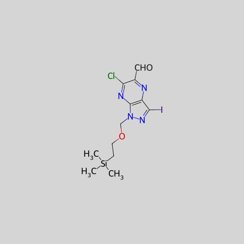 C[Si](C)(C)CCOCn1nc(I)c2nc(C=O)c(Cl)nc21